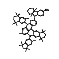 Cc1cc2c3c(c1)N(c1cc4c(cc1C)C(C)(C)CC4(C)C)c1cc4c(cc1B3c1ccc(C3c5ccc(C(C)(C)C)cc5C5(C)CCCCC35C)cc1C2c1cc2c(cc1C)C(C)(C)CCC2(C)C)C(C)(C)CCC4(C)C